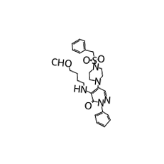 O=CCCCCNc1c(N2CCN(S(=O)(=O)Cc3ccccc3)CC2)cnn(-c2ccccc2)c1=O